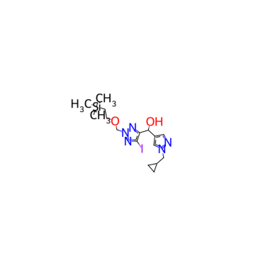 C[Si](C)(C)CCOCn1nc(I)c(C(O)c2cnn(CC3CC3)c2)n1